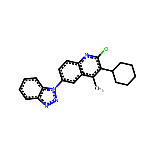 Cc1c(C2CCCCC2)c(Cl)nc2ccc(-n3nnc4ccccc43)cc12